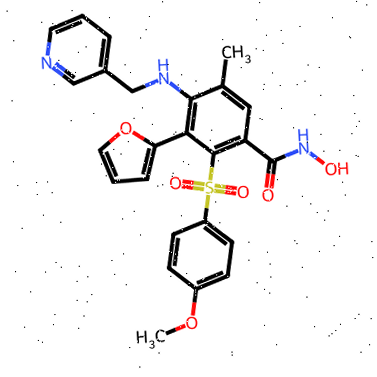 COc1ccc(S(=O)(=O)c2c(C(=O)NO)cc(C)c(NCc3cccnc3)c2-c2ccco2)cc1